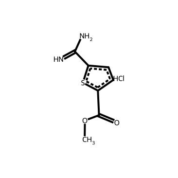 COC(=O)c1ccc(C(=N)N)s1.Cl